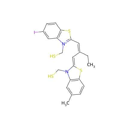 CCC(=Cc1sc2ccc(I)cc2[n+]1CS)C=C1Sc2ccc(C)cc2N1CS